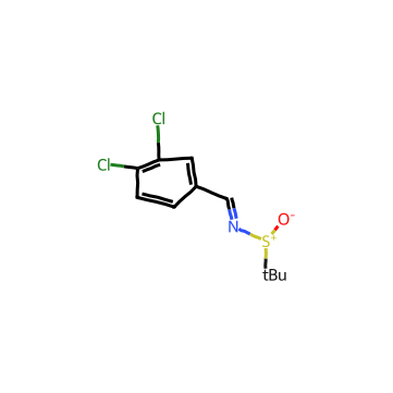 CC(C)(C)[S+]([O-])N=Cc1ccc(Cl)c(Cl)c1